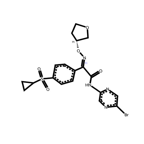 O=C(Nc1cnc(Br)cn1)/C(=N/O[C@@H]1CCOC1)c1ccc(S(=O)(=O)C2CC2)cc1